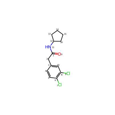 O=C(Cc1ccc(Cl)c(Cl)c1)NC1CCCC1